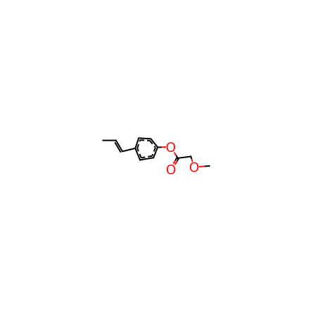 CC=Cc1ccc(OC(=O)COC)cc1